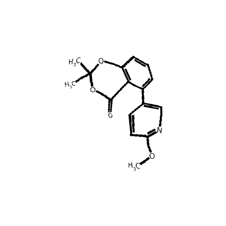 COc1ccc(-c2cccc3c2C(=O)OC(C)(C)O3)cn1